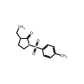 CCC1CCN(S(=O)(=O)c2ccc(C)cc2)C1=O